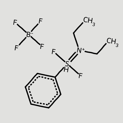 CC[N+](CC)=[SH](F)(F)c1ccccc1.F[B-](F)(F)F